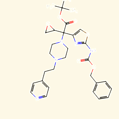 CC(C)(C)OC(=O)C(c1csc(NC(=O)OCc2ccccc2)n1)(C1CO1)N1CCN(CCc2ccncc2)CC1